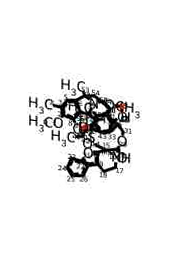 COc1c(C)cc2c(c1O)[C@H]1C3[C@@H]4SC[C@]5(NCCc6c5oc5ccccc65)C(=O)OC[C@@H](c5c6c(c(C)c(OC(C)=O)c54)OCO6)N3[C@]3(C)CN1C2(C)C3